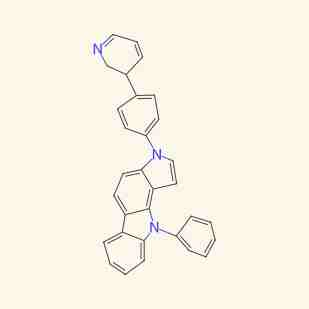 C1=CC(c2ccc(-n3ccc4c3ccc3c5ccccc5n(-c5ccccc5)c34)cc2)CN=C1